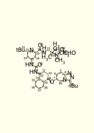 CC[C@H](C)c1nnc2ccc(O[C@@H]3CC[C@H](NC(=O)Nc4cc(C(=O)NCC(C)(C)N(C)C)nc(C(C)(C)C)c4)c4ccccc43)cn12.O=CO